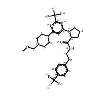 COCC1CCN(c2cc(N3CCCC3C(=O)NCCc3ccc(C(F)(F)F)cc3)nc(C(F)(F)F)n2)CC1